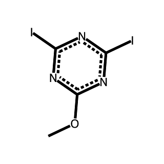 COc1nc(I)nc(I)n1